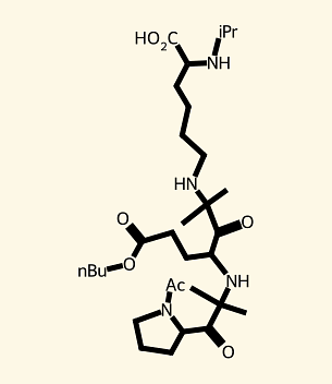 CCCCOC(=O)CCC(NC(C)(C)C(=O)C1CCCN1C(C)=O)C(=O)C(C)(C)NCCCCC(NC(C)C)C(=O)O